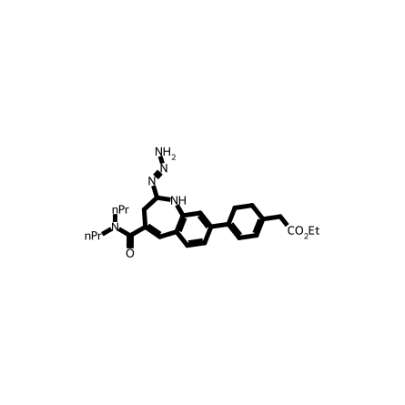 CCCN(CCC)C(=O)C1=Cc2ccc(C3=CC=C(CC(=O)OCC)CC3)cc2NC(N=NN)C1